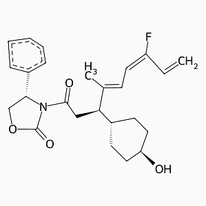 C=C/C(F)=C\C=C(/C)[C@H](CC(=O)N1C(=O)OC[C@@H]1c1ccccc1)[C@H]1CC[C@H](O)CC1